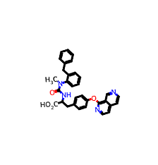 CN(C(=O)NC(Cc1ccc(Oc2nccc3ccncc23)cc1)C(=O)O)c1ccccc1Cc1ccccc1